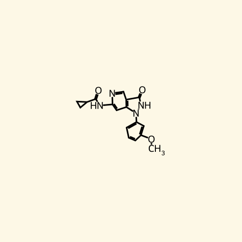 COc1cccc(-n2[nH]c(=O)c3cnc(NC(=O)C4CC4)cc32)c1